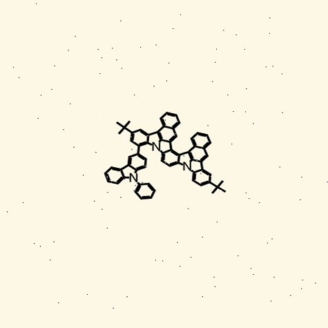 CC(C)(C)c1ccc2c(c1)c1cc3ccccc3c3c4c5c6cc7ccccc7c7c8cc(C(C)(C)C)cc(-c9ccc%10c(c9)c9ccccc9n%10-c9ccccc9)c8n(c5ccc4n2c13)c67